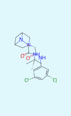 CC(C)(C)NC(=O)CN1C2CC1CN(CC(=O)Nc1cc(Cl)cc(Cl)c1)C2